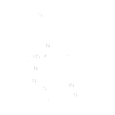 O=C(OC1C[C@@H](CNc2nc(CN3CCN(C(=O)CCc4nc5ccccc5[nH]4)CC3)cs2)N(Cc2ccc(Br)cc2)C1)c1ccccc1